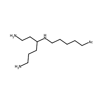 CC(=O)CCCCCNC(CCN)CCCN